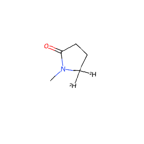 [2H]C1([2H])CCC(=O)N1C